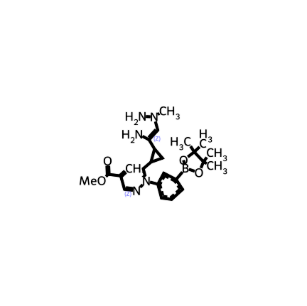 C=C(/C=N\N(CC1CC1/C(N)=C/N(C)N)c1cccc(B2OC(C)(C)C(C)(C)O2)c1)C(=O)OC